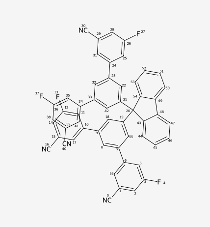 N#Cc1cc(F)cc(-c2cc(-c3cc(F)cc(C#N)c3)cc(C3(c4cc(-c5cc(F)cc(C#N)c5)cc(-c5cc(F)cc(C#N)c5)c4)c4ccccc4-c4ccccc43)c2)c1